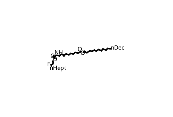 CCCCCCCCCCCCCCCCCCCCCCOC(=O)CCCCCCCCCC(N)C(=O)OCCC(F)CCCCCCC